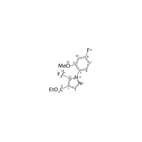 CCOC(=O)c1cnn(-c2ccc(F)cc2OC)c1C(F)(F)F